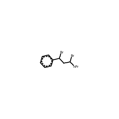 CCCC(Br)CC(Br)c1ccccc1